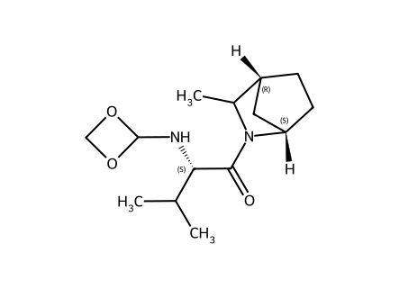 CC(C)[C@H](NC1OCO1)C(=O)N1C(C)[C@@H]2CC[C@H]1C2